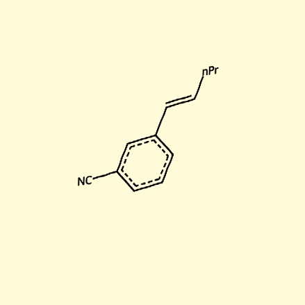 CCCC=Cc1cccc(C#N)c1